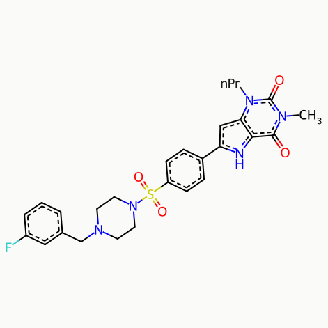 CCCn1c(=O)n(C)c(=O)c2[nH]c(-c3ccc(S(=O)(=O)N4CCN(Cc5cccc(F)c5)CC4)cc3)cc21